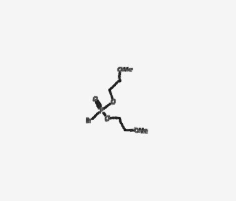 COCCOP(=O)(Br)OCCOC